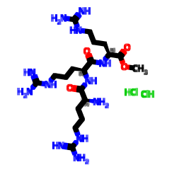 COC(=O)[C@H](CCCNC(=N)N)NC(=O)[C@H](CCCNC(=N)N)NC(=O)[C@@H](N)CCCNC(=N)N.Cl.Cl